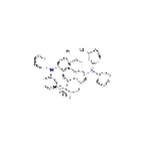 CC(C)c1cc(N(c2ccccc2)c2cccc(C#N)c2)c2cc3c4c(cc(N(c5ccccc5)c5cccc(C#N)c5)c5ccc1c2c54)CCC3(C)C